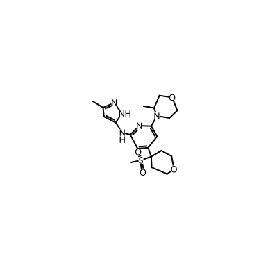 Cc1cc(Nc2cc(C3(S(C)(=O)=O)CCOCC3)cc(N3CCOCC3C)n2)[nH]n1